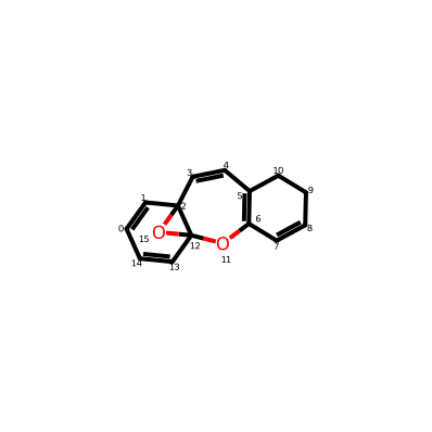 C1=CC23C=CC4=C(C=CCC4)OC2(C=C1)O3